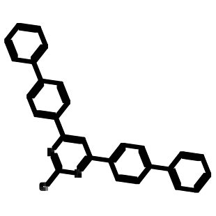 Clc1nc(-c2ccc(-c3ccccc3)cc2)cc(-c2ccc(-c3ccccc3)cc2)n1